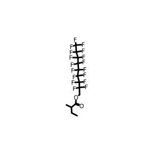 CCC(C)C(=O)OCC(F)(F)C(F)(F)C(F)(F)C(F)(F)C(F)(F)C(F)(F)C(F)(F)C(F)(F)F